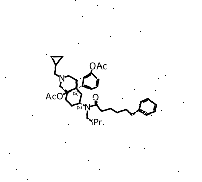 CC(=O)Oc1cccc([C@@]23CCN(CC4CC4)C[C@@]2(OC(C)=O)CC[C@H](N(CC(C)C)C(=O)CCCCCc2ccccc2)C3)c1